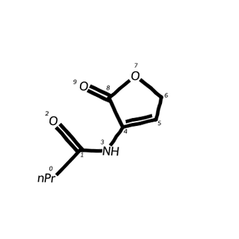 CCCC(=O)NC1=CCOC1=O